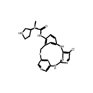 CN(C(=O)Nc1ccc2cc1CCc1cncc(c1)Nc1ncc(Cl)c(n1)N2)C1CCNC1